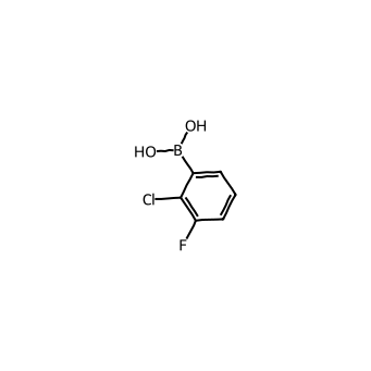 OB(O)c1cccc(F)c1Cl